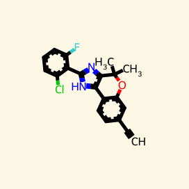 C#Cc1ccc2c(c1)OC(C)(C)c1nc(-c3c(F)cccc3Cl)[nH]c1-2